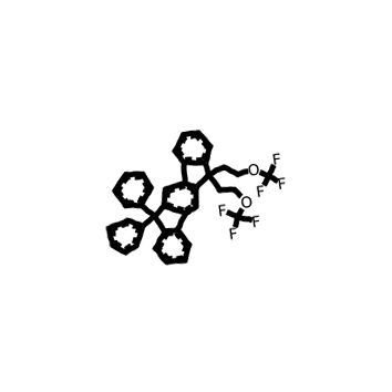 FC(F)(F)OCCC1(CCOC(F)(F)F)c2ccccc2-c2cc3c(cc21)-c1ccccc1C3(c1ccccc1)c1ccccc1